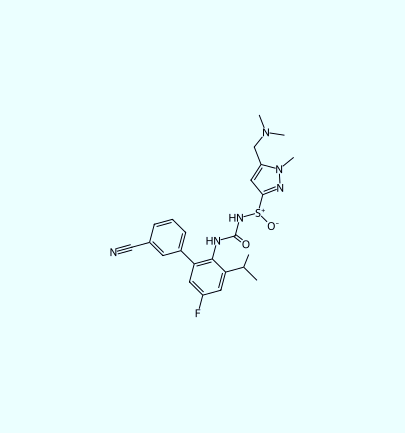 CC(C)c1cc(F)cc(-c2cccc(C#N)c2)c1NC(=O)N[S+]([O-])c1cc(CN(C)C)n(C)n1